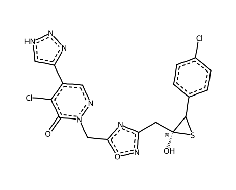 O=c1c(Cl)c(-c2c[nH]nn2)cnn1Cc1nc(C[C@]2(O)SC2c2ccc(Cl)cc2)no1